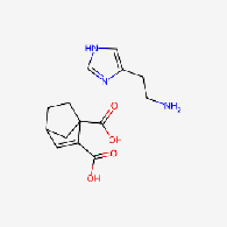 NCCc1c[nH]cn1.O=C(O)C1=CC2CCC1(C(=O)O)C2